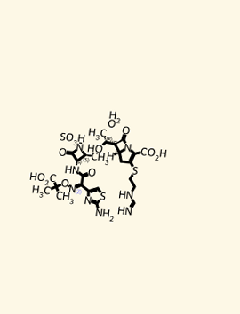 C[C@@H](O)[C@H]1C(=O)N2C(C(=O)O)=C(SCCNC=N)C[C@H]12.C[C@H]1[C@H](NC(=O)/C(=N\OC(C)(C)C(=O)O)c2csc(N)n2)C(=O)N1S(=O)(=O)O.O